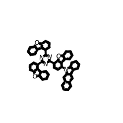 c1ccc2cc3c(cc2c1)c1ccccc1n3-c1ccc(-c2nc(-c3cccc4oc5ccccc5c34)nc(-c3cccc4oc5ccccc5c34)n2)c2oc3ccccc3c12